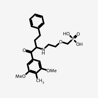 COc1cc(C(=O)C(CCc2ccccc2)NCCOCP(=O)(O)O)cc(OC)c1C